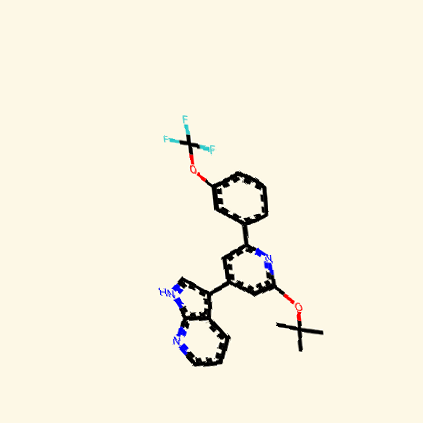 CC(C)(C)Oc1cc(-c2c[nH]c3ncccc23)cc(-c2cccc(OC(F)(F)F)c2)n1